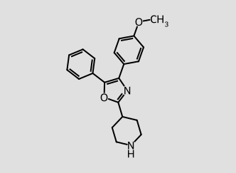 COc1ccc(-c2nc(C3CCNCC3)oc2-c2ccccc2)cc1